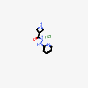 Cl.O=C(NNc1ccccn1)C1CNC1